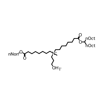 CCCCCCCCCOC(=O)CCCCCCC[N+](C)(CCCO)CCCCCCCC(=O)OC(CCCCCCCC)CCCCCCCC.[I-]